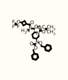 CC(C)(C)OC(=O)N1C[C@@H](N(OCc2ccccc2)C(=O)OCc2ccccc2)CC[C@@H]1C(=O)N(N)C(=O)C1CC(OC(F)(F)F)C1